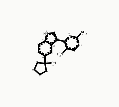 Nc1ncc(N)c(-c2c[nH]c3ccc(C4(O)CCCC4)cc23)n1